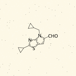 O=Cc1cc2sc(C3CC3)nc2n1CC1CC1